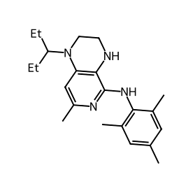 CCC(CC)N1CCNc2c1cc(C)nc2Nc1c(C)cc(C)cc1C